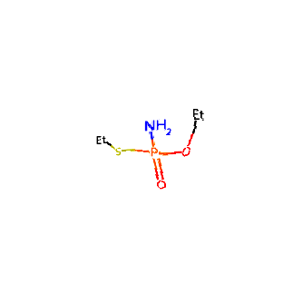 CCOP(N)(=O)SCC